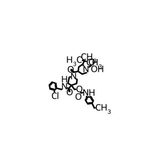 CCc1ccc(NC(=O)OCC2(C(=O)NCc3ccccc3Cl)CCN(C(=O)C3CCN(C(=O)O)C(C(C)(C)C)C3)CC2)cc1